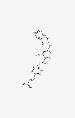 O=C(O)/C=C/c1ccc(COc2coc(CN3Cc4ccccc4C3)cc2=O)cc1